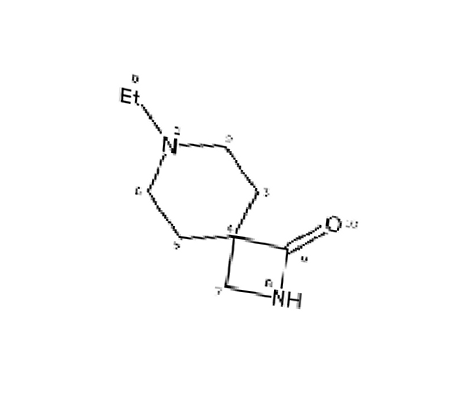 CCN1CCC2(CC1)CNC2=O